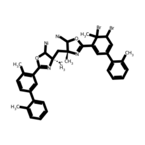 Cc1ccccc1C1=CC(Br)C(C)(Br)C(C2=N[C@](C)(C[C@@]3(C)N=C(c4cc(-c5ccccc5C)ccc4C)O[CH]3[Ni])[CH]([Ni])O2)=C1